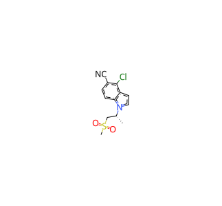 C[C@H](CS(C)(=O)=O)n1ccc2c(Cl)c(C#N)ccc21